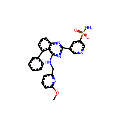 COc1cccc(CNc2nc(-c3cncc(S(N)(=O)=O)c3)nc3cccc(-c4ccccc4)c23)n1